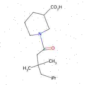 CC(C)CC(C)(C)CC(=O)N1CCCC(C(=O)O)C1